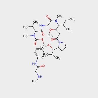 CCC(C)C(C(CC(=O)N1CCCC1C(OC)C(C)C)OC)N(C)C(=O)CNC(=O)C(C(C)C)N(C)C(=O)OCc1ccc(NC(=O)CNC)cc1